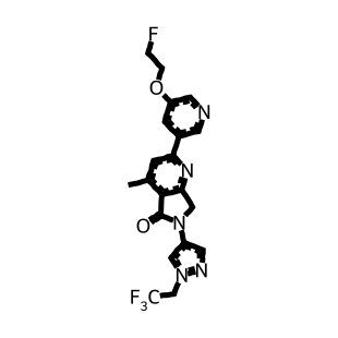 Cc1cc(-c2cncc(OCCF)c2)nc2c1C(=O)N(c1cnn(CC(F)(F)F)c1)C2